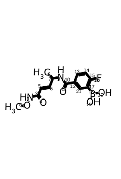 CONC(=O)/C=C/C(C)NC(=O)c1ccc(F)c(B(O)O)c1